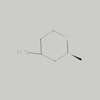 C[C@H]1C[C@@](C)(N)CCO1